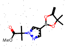 C=C1OB(c2cnn(C(C)(C)C(=O)OC)c2)OC1(C)C